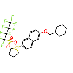 O=S(=O)(OS1(c2ccc3cc(OCC4CCCCC4)ccc3c2)CCCC1)C(F)(F)C(F)(F)C(F)(F)C(F)(F)F